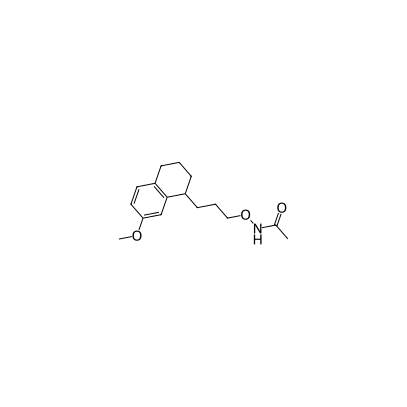 COc1ccc2c(c1)C(CCCONC(C)=O)CCC2